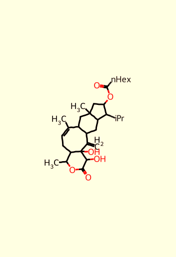 C=C1C2CC3C(C(C)C)C(OC(=O)CCCCCC)CC3(C)CC2C(C)=CCC2C(C)OC(=O)C(O)C12O